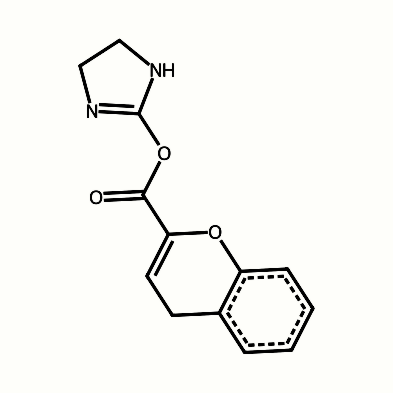 O=C(OC1=NCCN1)C1=CCc2ccccc2O1